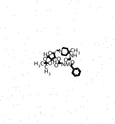 CNC(=O)O[C@@H]1[C@H]2OC(C)(C)O[C@H]2O[C@@H]1CN1CCC(C)(NC(=O)OCc2ccccc2)CC1